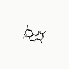 CC1=Cc2c(ccc3c(C)cc(C)nc23)N(C)C1